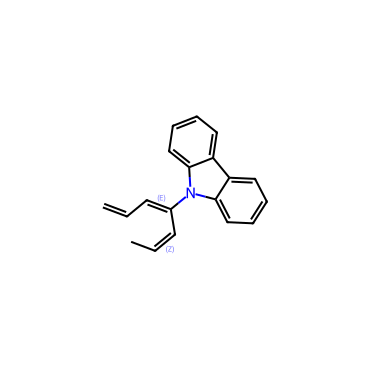 C=C/C=C(\C=C/C)n1c2ccccc2c2ccccc21